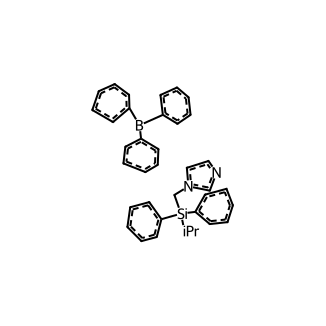 CC(C)[Si](Cn1ccnc1)(c1ccccc1)c1ccccc1.c1ccc(B(c2ccccc2)c2ccccc2)cc1